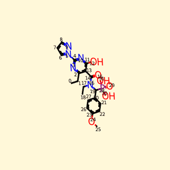 CCc1nc(-n2cccn2)nc(O)c1C(=O)N(CC)C(c1ccc(OC)cc1)P(=O)(O)O